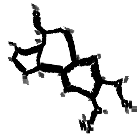 COc1nc2c(nc1OC)=C1N=CN=C1C(=O)C=2